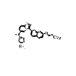 COCCOc1ccc2ccc(-c3nnc4ccc([C@H](C)N5CC[C@H](N)C5)cn34)nc2c1